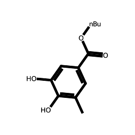 CCCCOC(=O)c1cc(C)c(O)c(O)c1